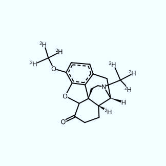 [2H]C([2H])([2H])Oc1ccc2c3c1OC1C(=O)CC[C@@]4([2H])[C@@H](C2)N(C([2H])([2H])[2H])CC[C@]314